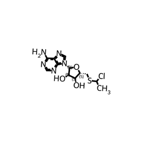 CC(Cl)SC[C@H]1O[C@@H](n2cnc3c(N)ncnc32)[C@H](O)[C@@H]1O